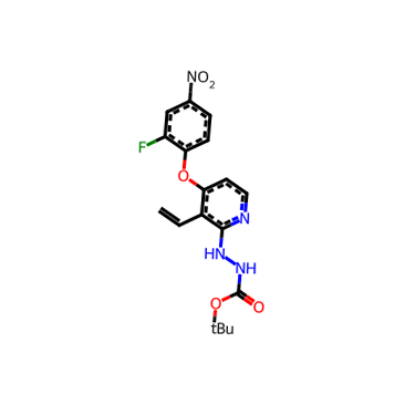 C=Cc1c(Oc2ccc([N+](=O)[O-])cc2F)ccnc1NNC(=O)OC(C)(C)C